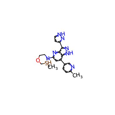 Cc1ccc(-c2cc(N3CCOC[SH]3C)nc3c(-c4cc[nH]n4)n[nH]c23)cn1